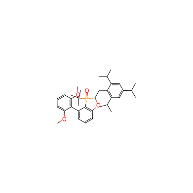 COc1cccc(OC)c1-c1cccc2c1P(=O)(C(C)(C)C)C(Cc1c(C(C)C)cc(C(C)C)cc1C(C)C)O2